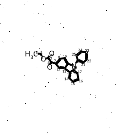 CCOC(=O)C(=O)c1ccc2c(c1)c1ccccc1n2-c1ccccc1